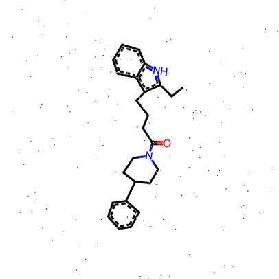 CCc1[nH]c2ccccc2c1CCCC(=O)N1CCC(c2ccccc2)CC1